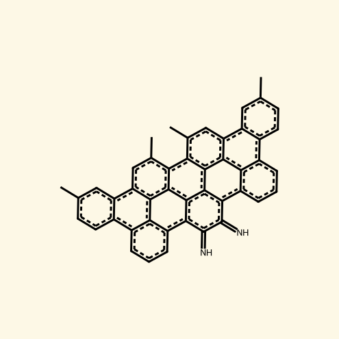 Cc1ccc2c(c1)c1cc(C)c3c4c(C)cc5c6cc(C)ccc6c6cccc7c8c(=N)c(=N)c9c%10cccc2c%10c1c3c9c8c4c5c67